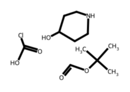 CC(C)(C)OC=O.O=C(O)Cl.OC1CCNCC1